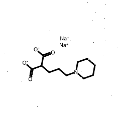 O=C([O-])C(CCCN1CCCCC1)C(=O)[O-].[Na+].[Na+]